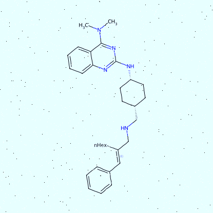 CCCCCC/C(=C\c1ccccc1)CNC[C@H]1CC[C@@H](Nc2nc(N(C)C)c3ccccc3n2)CC1